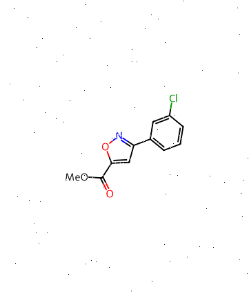 COC(=O)c1cc(-c2cccc(Cl)c2)no1